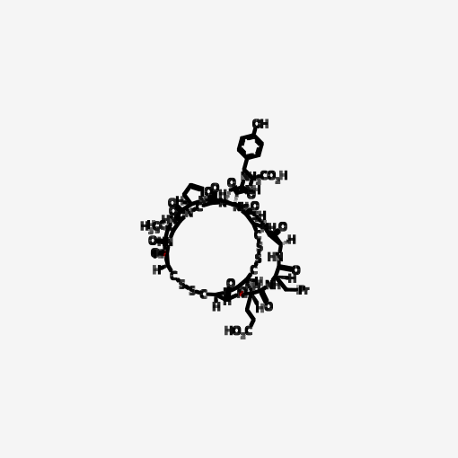 CC(C)C[C@@H]1NC(=O)[C@H](CCC(=O)O)NC(=O)[C@@H]2CSSC[C@@H]3NC(=O)[C@H](C)NC(=O)[C@@H]4CC=CN4C(=O)[C@H](CC(N)=O)NC(=O)[C@H](CSSC[C@H](N)C(=O)N2)NC(=O)[C@H](CSSC[C@@H](C(=O)N[C@@H](Cc2ccc(O)cc2)C(=O)O)NC(=O)CNC(=O)[C@H](C)NC3=O)NC1=O